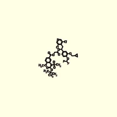 COc1ccc(C(=O)OCC(=O)OC(Cc2c(Cl)cncc2Cl)c2ccc(OC(F)F)c(OCC3CC3)c2)cc1N(C(=O)OC(C)(C)C)S(C)(=O)=O